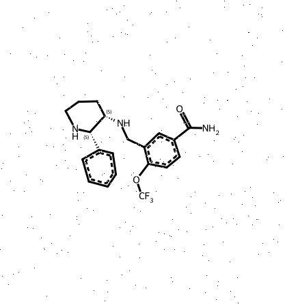 NC(=O)c1ccc(OC(F)(F)F)c(CN[C@H]2CCCN[C@H]2c2ccccc2)c1